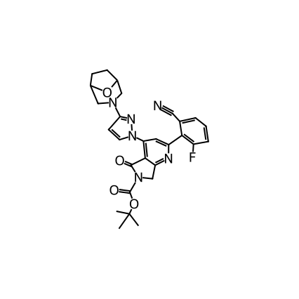 CC(C)(C)OC(=O)N1Cc2nc(-c3c(F)cccc3C#N)cc(-n3ccc(N4CC5CCC(C4)O5)n3)c2C1=O